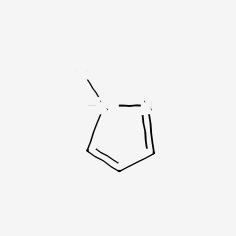 [O-][NH+]1C=C[C]=N1